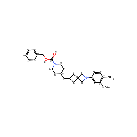 CNc1cc(N2CC3(CC(CC4CCN(C(=O)OCc5ccccc5)CC4)C3)C2)ccc1[N+](=O)[O-]